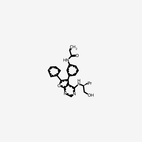 C=CC(=O)Nc1cccc(-c2c(-c3ccccc3)oc3ncnc(N[C@H](CO)C(C)C)c23)c1